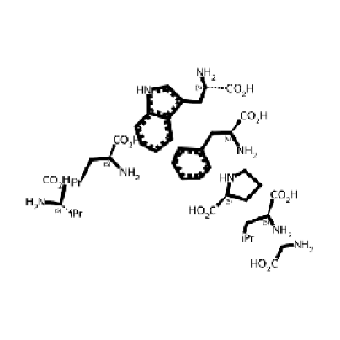 CC(C)C[C@H](N)C(=O)O.CC(C)C[C@H](N)C(=O)O.CC(C)[C@H](N)C(=O)O.NCC(=O)O.N[C@@H](Cc1c[nH]c2ccccc12)C(=O)O.N[C@@H](Cc1ccccc1)C(=O)O.O=C(O)[C@@H]1CCCN1